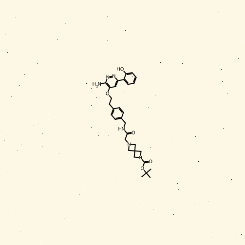 CC(C)(C)OC(=O)N1CC2(CN(CC(=O)NCc3ccc(CCOc4cc(-c5ccccc5O)nnc4N)cc3)C2)C1